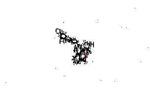 CN(c1nc(-c2ccnc(Nc3ccc(Cl)cc3)c2)nc2cncc(C3CC3)c12)C1CCNCC1(C)C